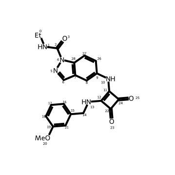 CCNC(=O)n1ncc2cc(Nc3c(NCc4cccc(OC)c4)c(=O)c3=O)ccc21